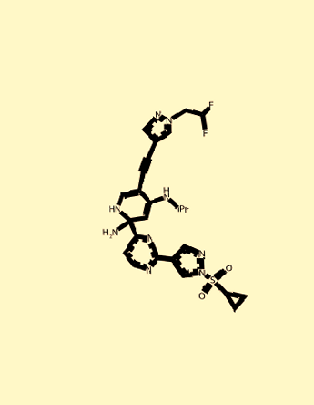 CC(C)NC1=CC(N)(c2ccnc(-c3cnn(S(=O)(=O)C4CC4)c3)n2)NC=C1C#Cc1cnn(CC(F)F)c1